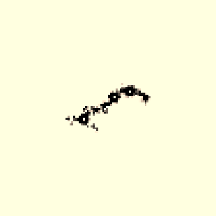 Nc1cc(N)cc(C(=O)OCCOC(=O)C=Cc2ccc(OC(F)(F)c3ccc(OCCC(F)(F)F)cc3)cc2)c1